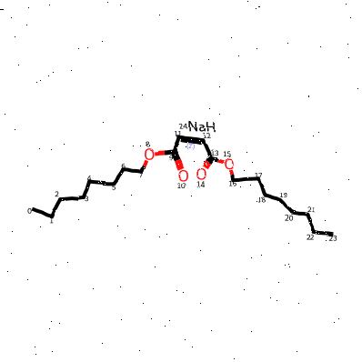 CCCCCCCCOC(=O)/C=C\C(=O)OCCCCCCCC.[NaH]